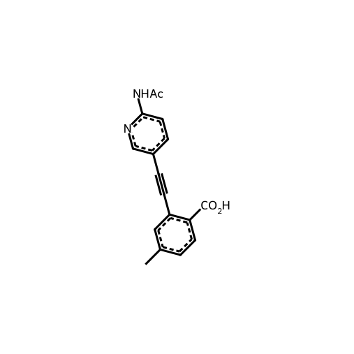 CC(=O)Nc1ccc(C#Cc2cc(C)ccc2C(=O)O)cn1